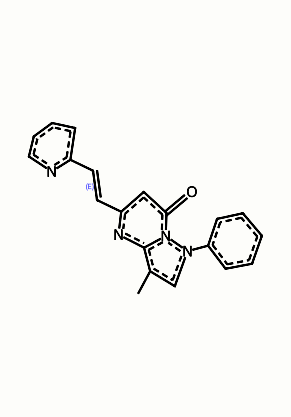 Cc1cn(-c2ccccc2)n2c(=O)cc(/C=C/c3ccccn3)nc12